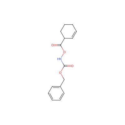 O=C(NOC(=O)C1C=CCCC1)OCc1ccccc1